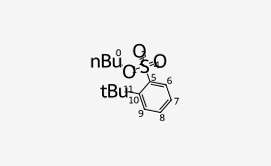 CCCCOS(=O)(=O)c1ccccc1C(C)(C)C